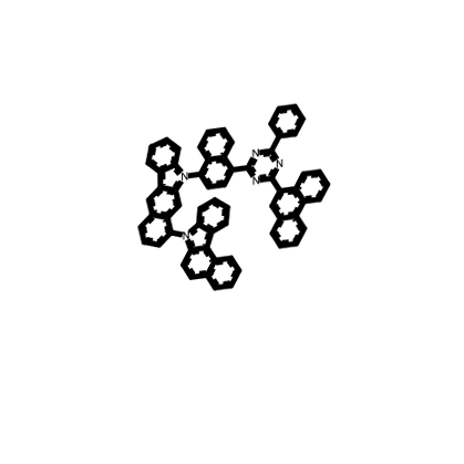 c1ccc(-c2nc(-c3ccc(-n4c5ccccc5c5cc6cccc(-n7c8ccccc8c8c9ccccc9ccc87)c6cc54)c4ccccc34)nc(-c3cc4ccccc4c4ccccc34)n2)cc1